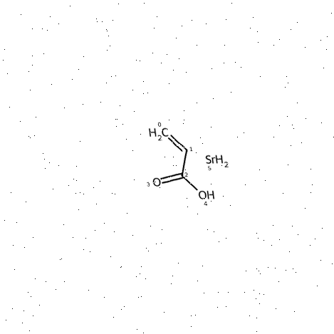 C=CC(=O)O.[SrH2]